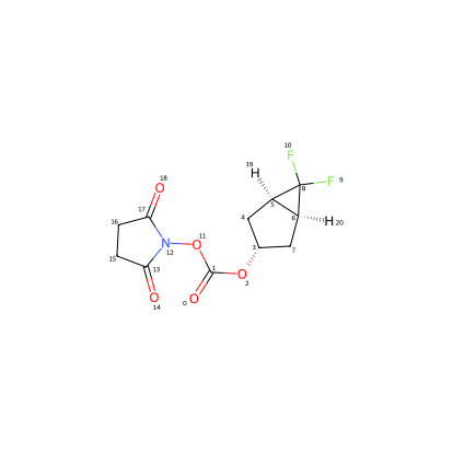 O=C(O[C@@H]1C[C@@H]2[C@H](C1)C2(F)F)ON1C(=O)CCC1=O